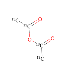 [13CH3][13C](=O)O[13C]([13CH3])=O